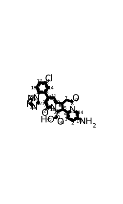 Nc1ccc(C2C(CC=O)c3cc(-c4cc(Cl)ccc4-n4cnnn4)cc(=O)n3[C@@H]2C(=O)O)nc1